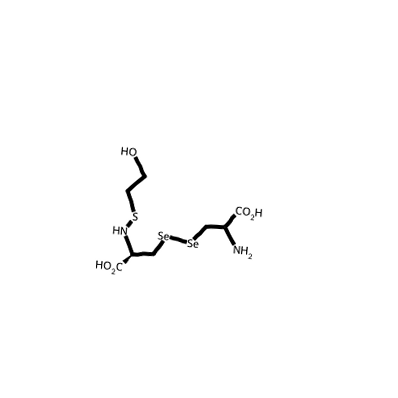 NC(C[Se][Se]C[C@H](NSCCO)C(=O)O)C(=O)O